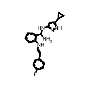 NC(Nc1cc(C2CC2)[nH]n1)c1ccccc1N/C=C/c1ccc(F)cc1